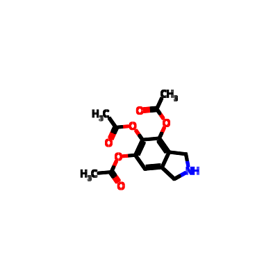 CC(=O)Oc1cc2c(c(OC(C)=O)c1OC(C)=O)CNC2